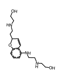 OCCNCCNc1cccc2c1C=CC(CCNCCO)O2